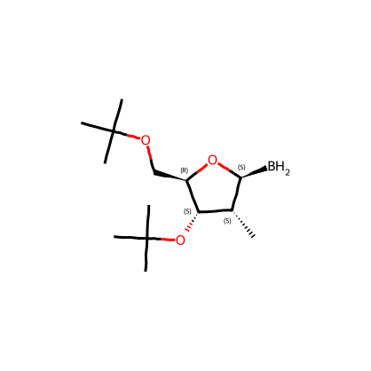 B[C@@H]1O[C@H](COC(C)(C)C)[C@@H](OC(C)(C)C)[C@H]1C